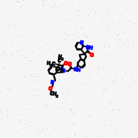 COC/N=C/c1ccccc1CN(CC(=O)Nc1ccc2c(c1)CC1(C2)C(=O)Nc2ncccc21)C(=O)C(C)(C)C